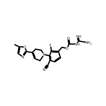 Cc1cnc(C2=CCN(c3c(C#N)ccc(COC(=O)NC(=N)N)c3F)CC2)o1